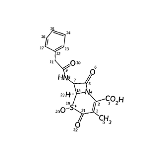 CC1=C(C(=O)O)N2C(=O)C(NC(=O)Cc3ccccc3)[C@@H]2[S+]([O-])C1=O